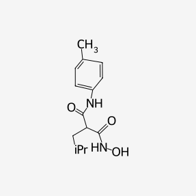 Cc1ccc(NC(=O)C(CC(C)C)C(=O)NO)cc1